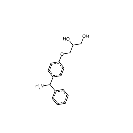 NC(c1ccccc1)c1ccc(OCC(O)CO)cc1